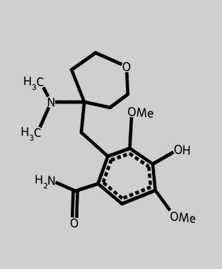 COc1cc(C(N)=O)c(CC2(N(C)C)CCOCC2)c(OC)c1O